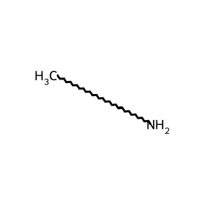 CCCCCCCCCCCCCCCCCCCCC=CCCCCCCCCN